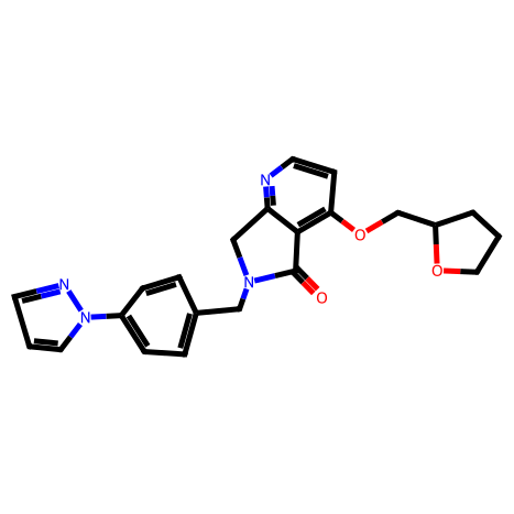 O=C1c2c(OCC3CCCO3)ccnc2CN1Cc1ccc(-n2cccn2)cc1